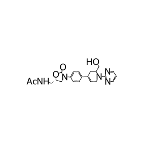 CC(=O)NC[C@H]1CN(c2ccc(C3=CCN(c4ncccn4)C(CO)C3)cc2)C(=O)O1